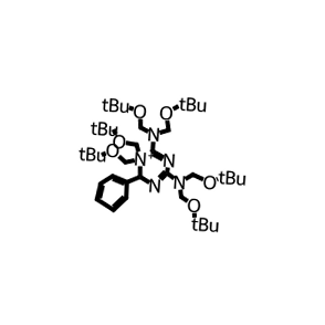 CC(C)(C)OCN(COC(C)(C)C)C1=NC(c2ccccc2)[N+](COC(C)(C)C)(COC(C)(C)C)C(N(COC(C)(C)C)COC(C)(C)C)=N1